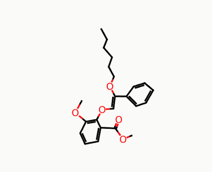 CCCCCCOC(=COc1c(OC)cccc1C(=O)OC)c1ccccc1